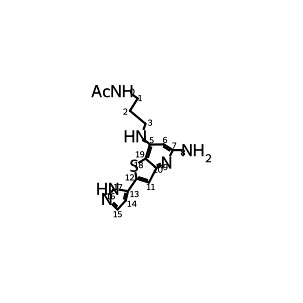 CC(=O)NCCCNc1cc(N)nc2cc(-c3ccn[nH]3)sc12